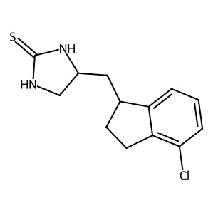 S=C1NCC(CC2CCc3c(Cl)cccc32)N1